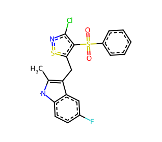 CC1=C(Cc2snc(Cl)c2S(=O)(=O)c2ccccc2)c2cc(F)ccc2[N]1